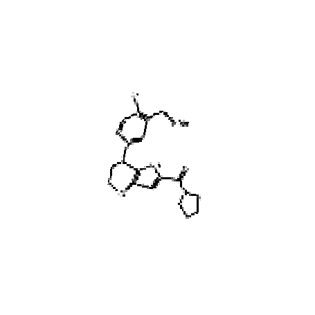 CNCc1cc(N2CCOc3cc(C(=O)N4CCCC4)[nH]c32)ccc1C(C)=O